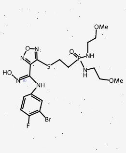 COCCNP(=O)(CCSc1nonc1/C(=N\O)Nc1ccc(F)c(Br)c1)NCCOC